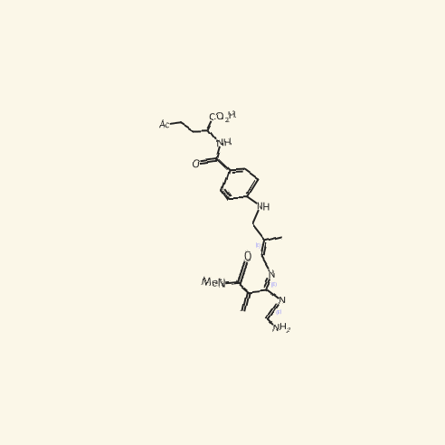 C=C(C(=O)NC)C(/N=C/N)=N\C=C(/C)CNc1ccc(C(=O)NC(CCC(C)=O)C(=O)O)cc1